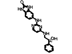 O=c1[nH]c2ccc(Nc3nccc(NC[C@H](O)c4ccccc4)n3)cc2[nH]1